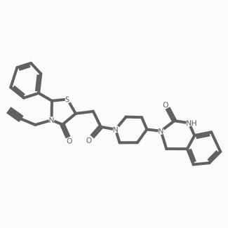 C#CCN1C(=O)C(CC(=O)N2CCC(N3Cc4ccccc4NC3=O)CC2)SC1c1ccccc1